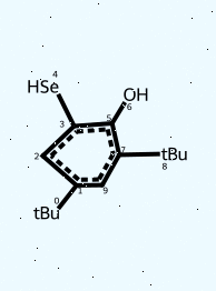 CC(C)(C)c1cc([SeH])c(O)c(C(C)(C)C)c1